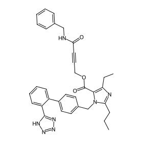 CCCc1nc(CC)c(C(=O)OCC#CC(=O)NCc2ccccc2)n1Cc1ccc(-c2ccccc2-c2nnn[nH]2)cc1